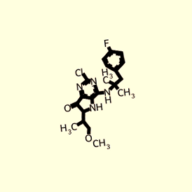 COCC(C)C1Nc2c(NC(C)(C)Cc3ccc(F)cc3)nc(Cl)nc2C1=O